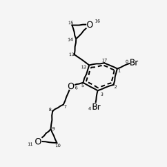 Brc1cc(Br)c(OCCC2CO2)c(CC2CO2)c1